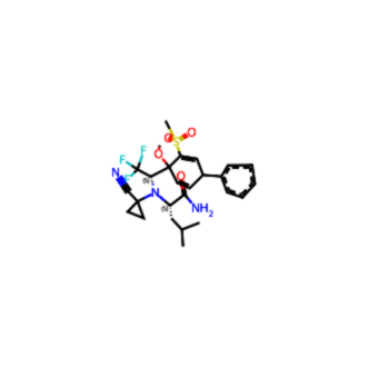 COC1([C@H](N([C@@H](CC(C)C)C(N)=O)C2(C#N)CC2)C(F)(F)F)C=CC(c2ccccc2)C=C1S(C)(=O)=O